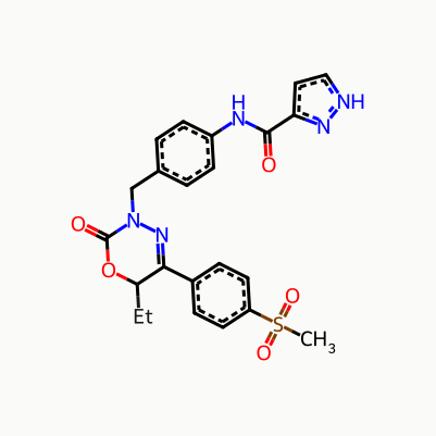 CCC1OC(=O)N(Cc2ccc(NC(=O)c3cc[nH]n3)cc2)N=C1c1ccc(S(C)(=O)=O)cc1